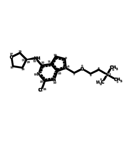 C[Si](C)(C)CCOCn1ccc2c(N[C@H]3CCOC3)nc(Cl)nc21